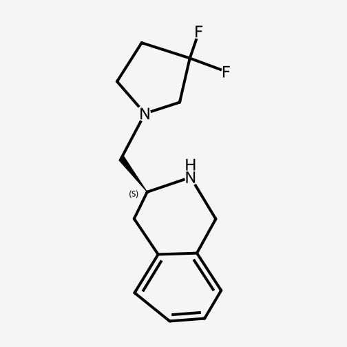 FC1(F)CCN(C[C@@H]2Cc3ccccc3CN2)C1